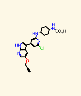 C#CCOc1cnc2[nH]cc(-c3cc(Cl)nc(N[C@H]4CC[C@H](NC(=O)O)CC4)c3)c2c1